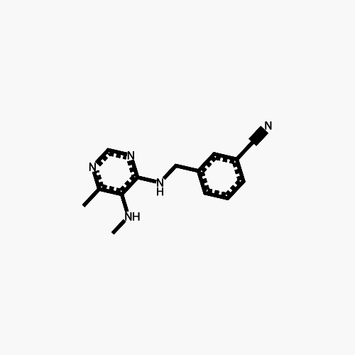 CNc1c(C)ncnc1NCc1cccc(C#N)c1